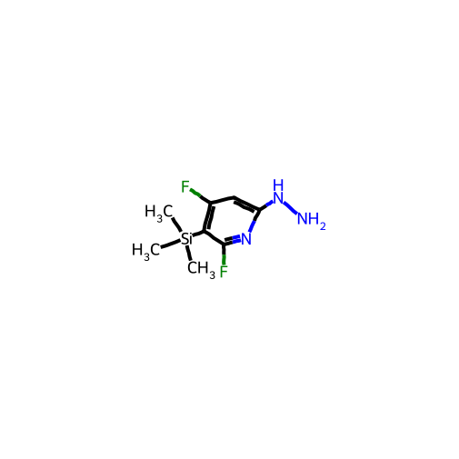 C[Si](C)(C)c1c(F)cc(NN)nc1F